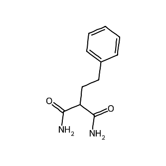 NC(=O)C(CCc1ccccc1)C(N)=O